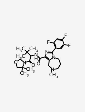 CN1CCCn2c(-c3cc(F)c(F)cc3F)nc(C(=O)NC(C(=O)N3COCC3(C)C)C(C)(C)C)c2C1